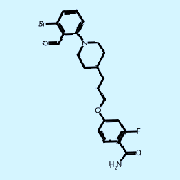 NC(=O)c1ccc(OCCCC2CCN(c3cccc(Br)c3C=O)CC2)cc1F